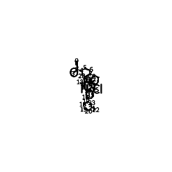 C#CC(=O)c1ccc(C)c(-n2c(C)nc(OCc3cccc(C)c3)c(Cl)c2=O)c1